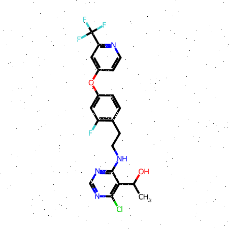 CC(O)c1c(Cl)ncnc1NCCc1ccc(Oc2ccnc(C(F)(F)F)c2)cc1F